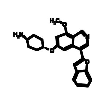 COc1cc(O[C@H]2CC[C@H](N)CC2)cc2c(-c3cc4ccccc4o3)cncc12